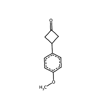 COc1ccc(C2CC(=O)C2)cc1